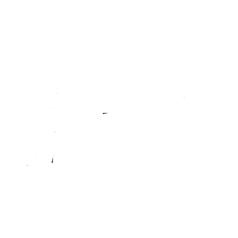 C=C1/C(=C/C=C2\CCC[C@]3(C)[C@@H]([C@H](C)/C=C/[C@@H](O)C(C)(C)OC(=O)OCC)CC[C@@H]23)C[C@@H](O[Si](C)(C)C(C)(C)C)C[C@@H]1O[Si](C)(C)C(C)(C)C